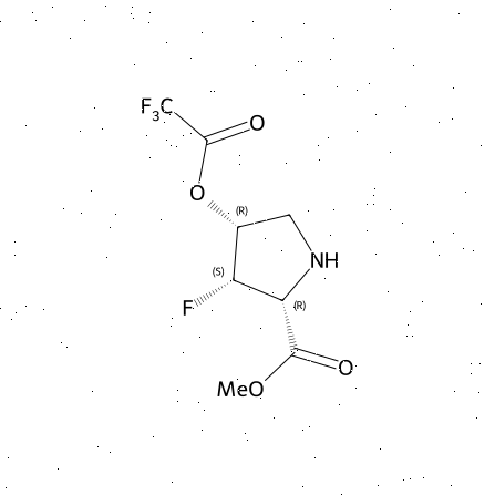 COC(=O)[C@H]1NC[C@@H](OC(=O)C(F)(F)F)[C@H]1F